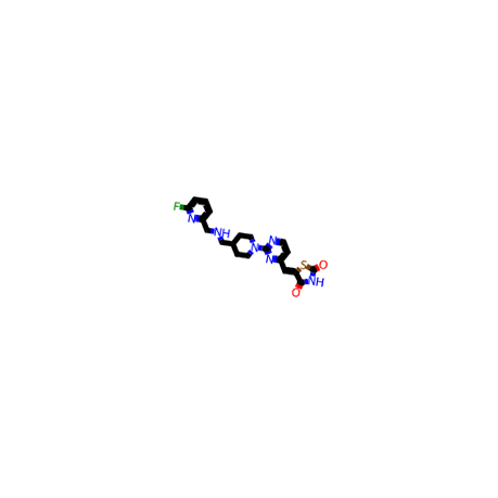 O=C1NC(=O)/C(=C/c2ccnc(N3CCC(CNCc4cccc(F)n4)CC3)n2)S1